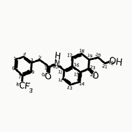 O=C(Cc1cccc(C(F)(F)F)c1)Nc1cccc2c1C=CC(CCO)C2=O